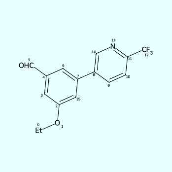 CCOc1cc(C=O)cc(-c2ccc(C(F)(F)F)nc2)c1